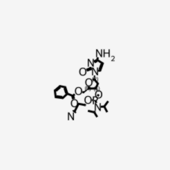 CC(C)N(C(C)C)P(OCCC#N)O[C@H]1C[C@H](n2ccc(N)nc2=O)O[C@@H]1COC(=O)c1ccccc1